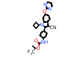 C[C@@H](OC(=O)Nc1ccc(-c2c(C#N)c3ccc(Oc4ncccn4)cc3n2C2CCC2)cc1)C(F)(F)F